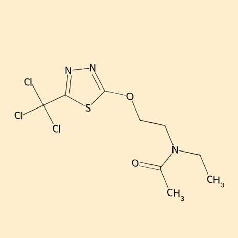 CCN(CCOc1nnc(C(Cl)(Cl)Cl)s1)C(C)=O